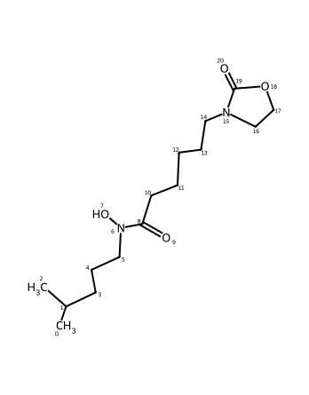 CC(C)CCCN(O)C(=O)CCCCCN1CCOC1=O